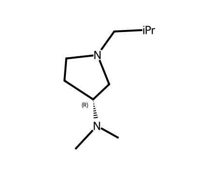 CC(C)CN1CC[C@@H](N(C)C)C1